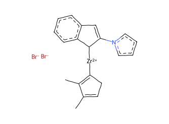 CC1=CC[C]([Zr+2][CH]2C(n3cccc3)=Cc3ccccc32)=C1C.[Br-].[Br-]